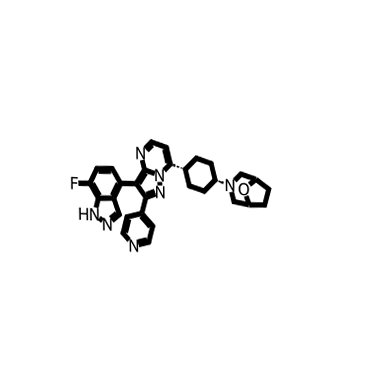 Fc1ccc(-c2c(-c3ccncc3)nn3c2nccc3[C@H]2CC[C@@H](N3CC4CCC(C3)O4)CC2)c2cn[nH]c12